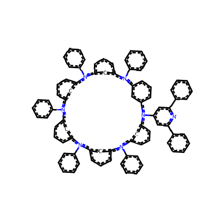 c1ccc(-c2cc(-n3c4cccc(c4)n(-c4ccccc4)c4cccc(c4)n(-c4ccccc4)c4cccc(c4)n(-c4ccccc4)c4cccc(c4)n(-c4ccccc4)c4cccc(c4)n(-c4ccccc4)c4cccc3c4)cc(-c3ccccc3)n2)cc1